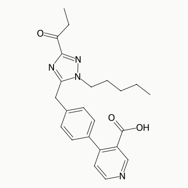 CCCCCn1nc(C(=O)CC)nc1Cc1ccc(-c2ccncc2C(=O)O)cc1